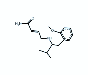 COc1ccccc1CC(NCC=CC(N)=O)C(C)C